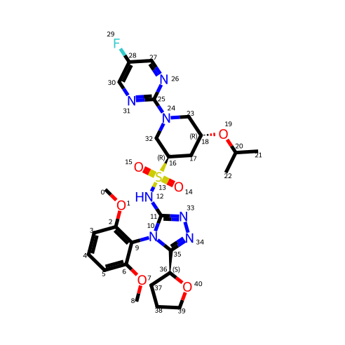 COc1cccc(OC)c1-n1c(NS(=O)(=O)[C@@H]2C[C@@H](OC(C)C)CN(c3ncc(F)cn3)C2)nnc1[C@@H]1CCCO1